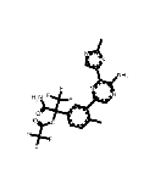 Cc1ncc(-c2nc(-c3cc(C(OC(=O)C(F)(F)F)(C(N)=O)C(F)(F)F)ccc3C)cnc2N)s1